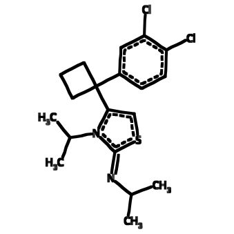 CC(C)N=c1scc(C2(c3ccc(Cl)c(Cl)c3)CCC2)n1C(C)C